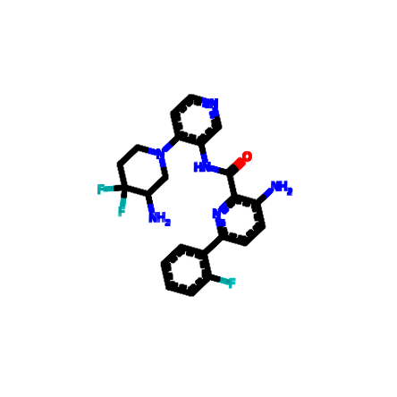 Nc1ccc(-c2ccccc2F)nc1C(=O)Nc1cnccc1N1CCC(F)(F)C(N)C1